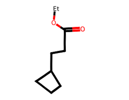 [CH2]COC(=O)CCC1CCC1